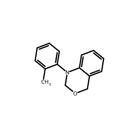 Cc1ccccc1N1COCc2ccccc21